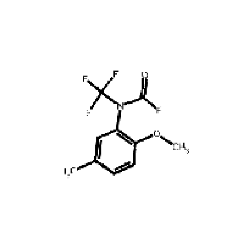 COc1ccc(C)cc1N(C(=O)F)C(F)(F)F